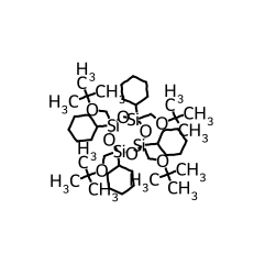 CC(C)(C)OC[Si]1(C2CCCCC2)O[Si](COC(C)(C)C)(C2CCCCC2)O[Si](COC(C)(C)C)(C2CCCCC2)O[Si](COC(C)(C)C)(C2CCCCC2)O1